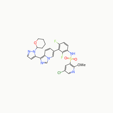 COc1ncc(Cl)cc1S(=O)(=O)Nc1ccc(F)c(-c2ccc3c(-c4ccnn4C4CCCCO4)ncn3c2)c1F